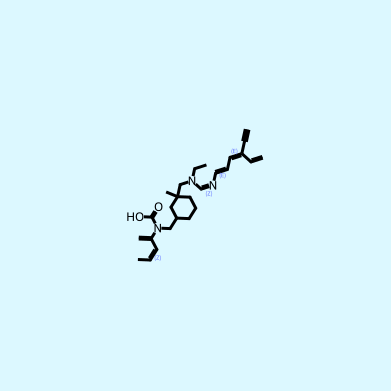 C#C/C(C=C)=C/C=C/N=C\N(CC)CC1(C)CCCC(CN(C(=C)/C=C\C)C(=O)O)C1